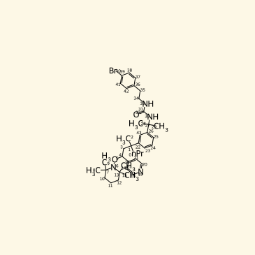 CCCC(C)(CC(ON1C(C)(C)CCCC1(C)C)c1ccncc1)c1cccc(C(C)(C)NC(=O)NCCc2ccc(Br)cc2)c1